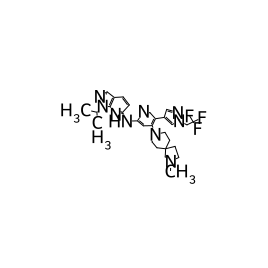 CC(C)n1ncc2ccc(Nc3cc(N4CCC5(CCN(C)C5)CC4)c(-c4cnn(CC(F)(F)F)c4)cn3)nc21